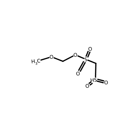 COCOS(=O)(=O)C[SH](=O)=O